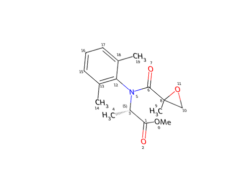 COC(=O)[C@H](C)N(C(=O)C1(C)CO1)c1c(C)cccc1C